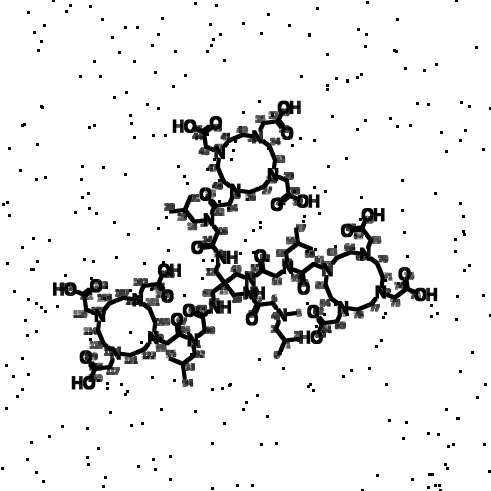 CC(C)CN(C)CC(=O)NCC(CNC(=O)CN(CC(C)C)C(=O)CN1CCN(CC(=O)O)CCN(CC(=O)O)CCN(CC(=O)O)CC1)(CNC(=O)CN(CC(C)C)C(=O)CN1CCN(CC(=O)O)CCN(CC(=O)O)CCN(CC(=O)O)CC1)CNC(=O)CN(CC(C)C)C(=O)CN1CCN(CC(=O)O)CCN(CC(=O)O)CCN(CC(=O)O)CC1